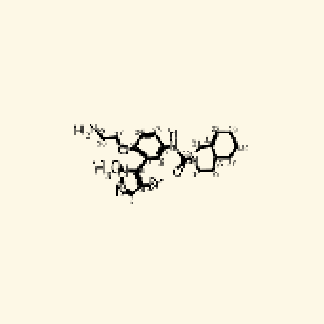 Cn1ncc(Br)c1-c1cc(NC(=O)N2CCC3CCCC=C3C2)ccc1OCCN